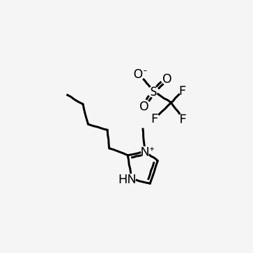 CCCCCc1[nH]cc[n+]1C.O=S(=O)([O-])C(F)(F)F